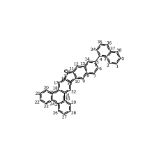 c1ccc2c(-c3ccc4cc5c(cc4c3)sc3cc4c6ccccc6c6ccccc6c4cc35)cccc2c1